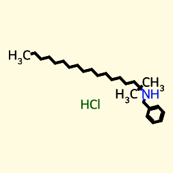 CCCCCCCCCCCCCCCCC(C)(C)NCc1ccccc1.Cl